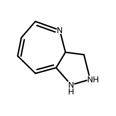 C1=CC=C2NNCC2N=C1